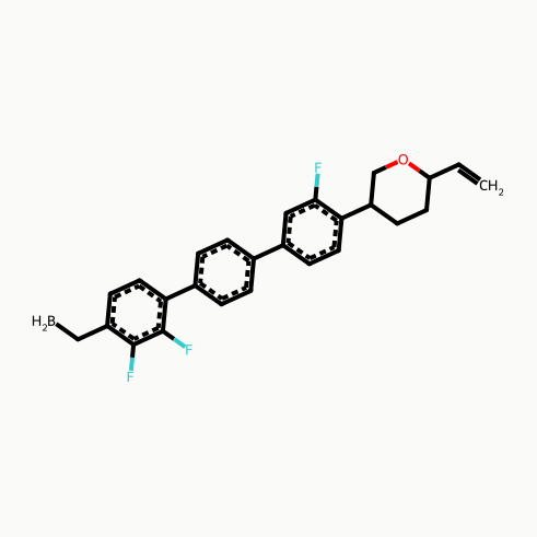 BCc1ccc(-c2ccc(-c3ccc(C4CCC(C=C)OC4)c(F)c3)cc2)c(F)c1F